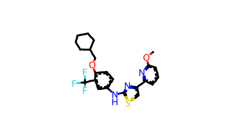 COc1cccc(-c2csc(Nc3ccc(OCC4CCCCC4)c(C(F)(F)F)c3)n2)n1